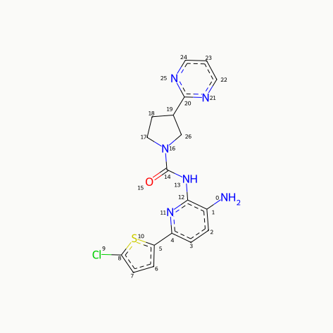 Nc1ccc(-c2ccc(Cl)s2)nc1NC(=O)N1CCC(c2ncccn2)C1